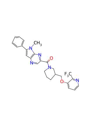 Cn1c(-c2ccccc2)cc2ncc(C(=O)N3CCCC(COc4cccnc4C(F)(F)F)C3)nc21